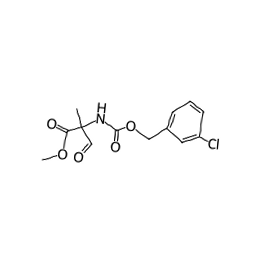 COC(=O)C(C)(C=O)NC(=O)OCc1cccc(Cl)c1